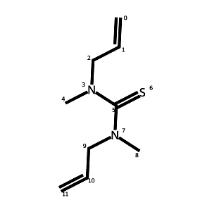 C=CCN(C)C(=S)N(C)CC=C